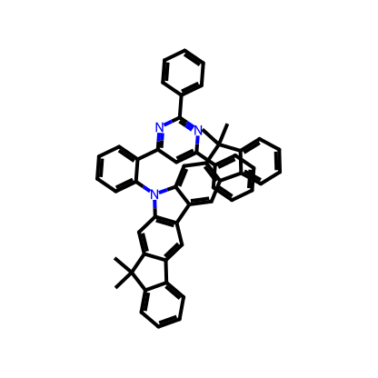 CC1(C)c2ccccc2-c2cc3c4cc5c(cc4n(-c4ccccc4-c4cc(-c6ccccc6)nc(-c6ccccc6)n4)c3cc21)C(C)(C)c1ccccc1-5